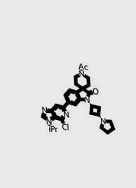 CC(=O)N1CCC2(CC1)C(=O)N([C@H]1C[C@@H](N3CCCC3)C1)c1cc(-c3cc4ncn(C(C)C)c4c(Cl)n3)ccc12